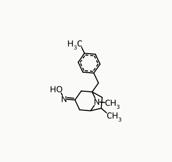 Cc1ccc(CC23CC(=NO)CC(C(C)C2)N3C)cc1